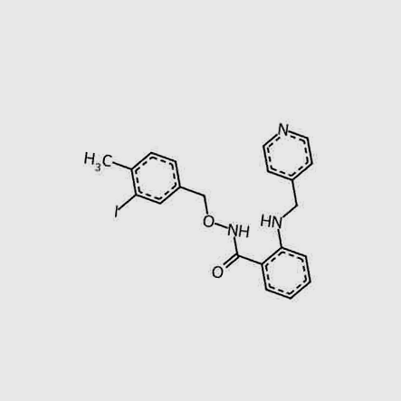 Cc1ccc(CONC(=O)c2ccccc2NCc2ccncc2)cc1I